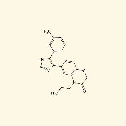 CCCN1C(=O)COc2ccc(-c3nn[nH]c3-c3cccc(C)n3)cc21